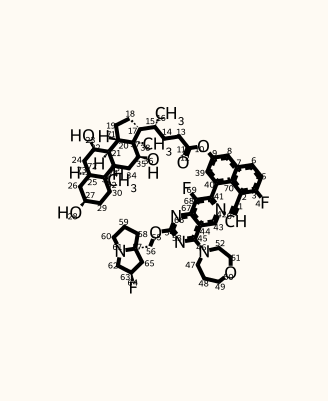 C#Cc1c(F)ccc2cc(OC(=O)CC[C@@H](C)[C@H]3CC[C@H]4[C@@H]5[C@H](O)C[C@@H]6C[C@H](O)CC[C@]6(C)[C@H]5C[C@H](O)[C@]34C)cc(-c3ncc4c(N5CCCOCC5)nc(OC[C@@]56CCCN5C[C@H](F)C6)nc4c3F)c12